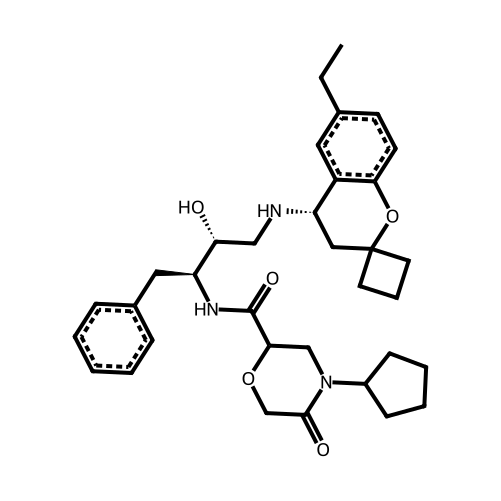 CCc1ccc2c(c1)[C@@H](NC[C@@H](O)[C@H](Cc1ccccc1)NC(=O)C1CN(C3CCCC3)C(=O)CO1)CC1(CCC1)O2